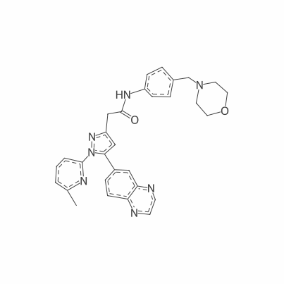 Cc1cccc(-n2nc(CC(=O)Nc3ccc(CN4CCOCC4)cc3)cc2-c2ccc3nccnc3c2)n1